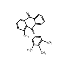 Cc1c(N)cccc1[N+](=O)[O-].Nc1cccc2c1C(=O)c1ccccc1C2=O